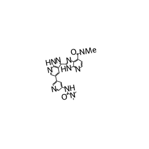 CNC(=O)c1ccnc2[nH]c(-c3n[nH]c4ncc(-c5cncc(NC(=O)N(C)C)c5)cc34)nc12